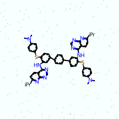 CC(C)c1ccc2c(Nc3cc(-c4ccc(-c5ccc(Sc6ccc(N(C)C)cc6)c(Nc6ncnc7nc(C(C)C)ccc67)c5)cc4)ccc3Sc3ccc(N(C)C)cc3)ncnc2n1